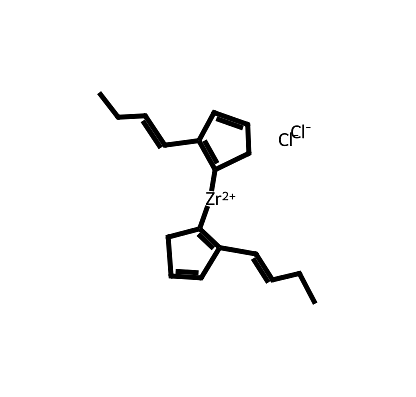 CCC=CC1=[C]([Zr+2][C]2=C(C=CCC)C=CC2)CC=C1.[Cl-].[Cl-]